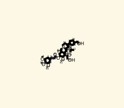 COc1cc(/C=C/C(=O)O[C@@H]2C[C@@H]3CN4CCc5c(n(C(C)C)c6cc(CO)ccc56)[C@H]4C[C@@H]3[C@H](C(=O)CO)[C@H]2OC)cc(OC)c1OC